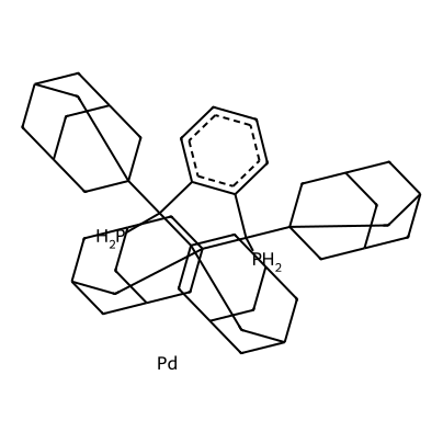 PC(c1ccccc1C(P)(C12CC3CC(CC(C3)C1)C2)C12CC3CC(CC(C3)C1)C2)(C12CC3CC(CC(C3)C1)C2)C12CC3CC(CC(C3)C1)C2.[Pd]